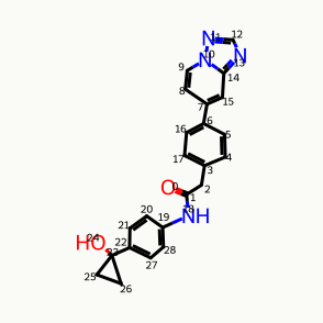 O=C(Cc1ccc(-c2ccn3ncnc3c2)cc1)Nc1ccc(C2(O)CC2)cc1